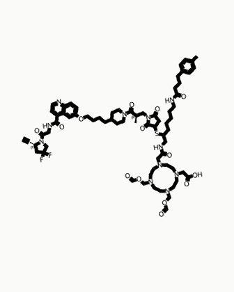 C#C[C@H]1CC(F)(F)CN1C(=O)CNC(=O)c1ccnc2ccc(OCCCCC3CCN(C(=O)[C@H](C)CN4C(=O)CC(SC(CCCCCNC(=O)CCCc5ccc(C)cc5)CNC(=O)CN5CCN(COC=O)CCN(COC=O)CCN(CC(=O)O)CC5)C4=O)CC3)cc12